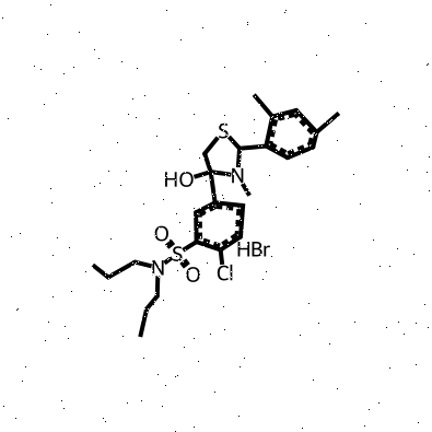 Br.CCCN(CCC)S(=O)(=O)c1cc(C2(O)CSC(c3ccc(C)cc3C)N2C)ccc1Cl